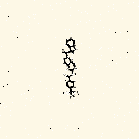 CC(C)(C)c1ccc(C(=O)NC2N=CC3=CN(C(=O)c4csc5ccccc45)CCC3=N2)cc1